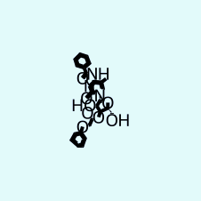 Cc1cn([C@@H]2O[C@H](CO)C(OC(=O)COc3ccccc3)C2O)c(=O)nc1NC(=O)c1ccccc1